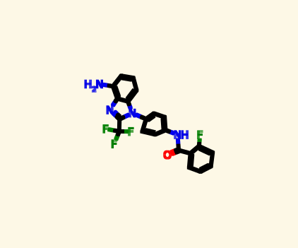 Nc1cccc2c1nc(C(F)(F)F)n2-c1ccc(NC(=O)c2ccccc2F)cc1